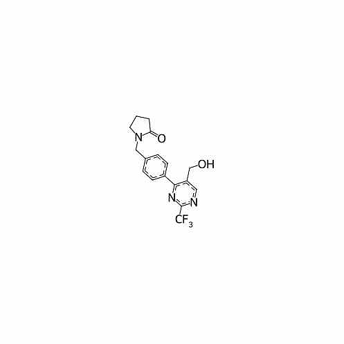 O=C1CCCN1Cc1ccc(-c2nc(C(F)(F)F)ncc2CO)cc1